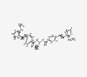 CC[n+]1ccsc1/N=N/c1ccc(NCCCNc2ccc(/N=N/c3scc[n+]3CC)cc2)cc1.[Br-].[Br-]